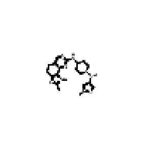 Cc1nc2c(n1C)-c1nc(NC3CCN([S+]([O-])c4cnn(C)c4)CC3)ncc1CC2